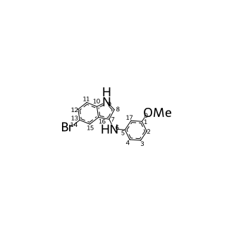 COc1cccc(Nc2c[nH]c3ccc(Br)cc23)c1